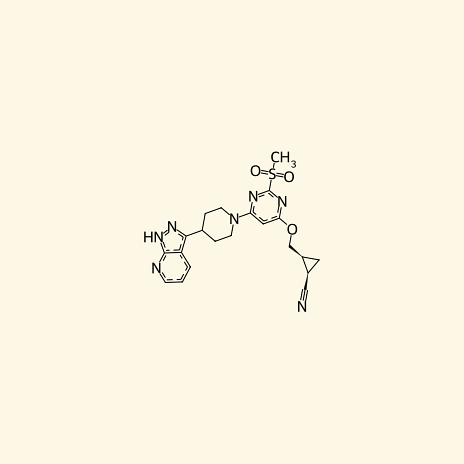 CS(=O)(=O)c1nc(OC[C@H]2C[C@H]2C#N)cc(N2CCC(c3n[nH]c4ncccc34)CC2)n1